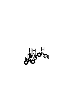 CN1CCC(Nc2ccc(C(=O)Nc3cc(-c4nc5ccccc5n4-c4cccc(F)c4)n[nH]3)cc2)CC1